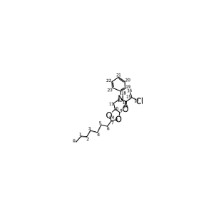 CCCCCCCC1OCC(CN(C(=O)C(C)Cl)c2ccccc2)O1